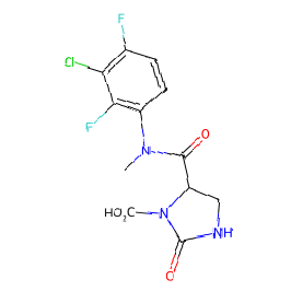 CN(C(=O)C1CNC(=O)N1C(=O)O)c1ccc(F)c(Cl)c1F